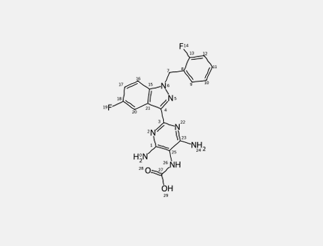 Nc1nc(-c2nn(Cc3ccccc3F)c3ccc(F)cc23)nc(N)c1NC(=O)O